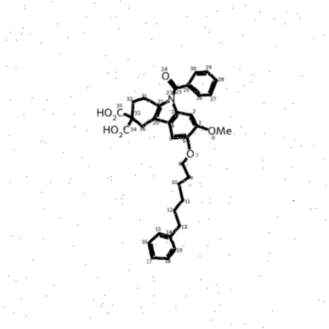 COc1cc2c(cc1OCCCCCCc1ccccc1)c1c(n2C(=O)c2ccccc2)CCC(C(=O)O)(C(=O)O)C1